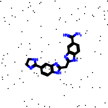 N=C(N)c1ccc2[nH]c(Cc3nc4cc(C5=NCCN5)ccc4[nH]3)nc2c1